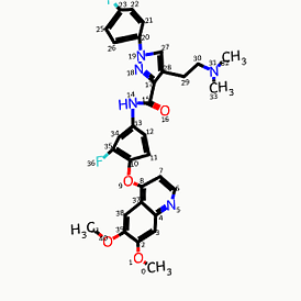 COc1cc2nccc(Oc3ccc(NC(=O)c4nn(-c5ccc(F)cc5)cc4CCN(C)C)cc3F)c2cc1OC